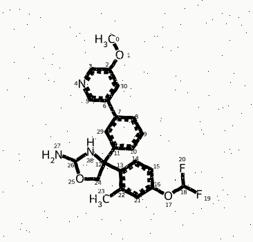 COc1cncc(-c2cccc(C3(c4ccc(OC(F)F)cc4C)COC(N)N3)c2)c1